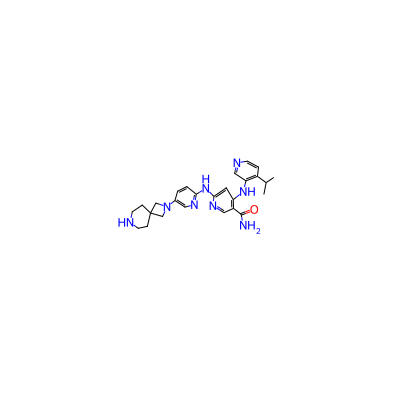 CC(C)c1ccncc1Nc1cc(Nc2ccc(N3CC4(CCNCC4)C3)cn2)ncc1C(N)=O